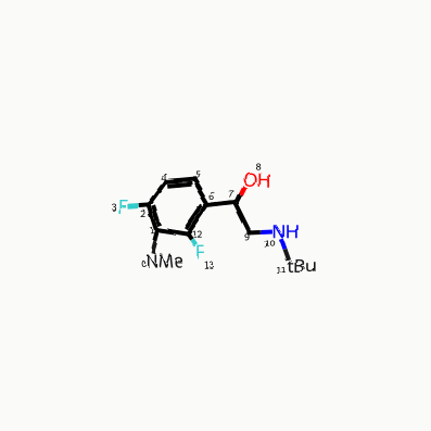 CNc1c(F)ccc(C(O)CNC(C)(C)C)c1F